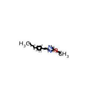 CCCCCc1ccc(C#Cc2ncc(OCCC)cn2)cc1